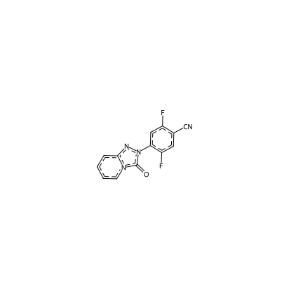 N#Cc1cc(F)c(-n2nc3ccccn3c2=O)cc1F